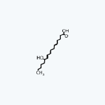 CCCCCC(O)C=CC=CCC=CCCCC(=O)O